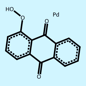 O=C1c2ccccc2C(=O)c2c(OO)cccc21.[Pd]